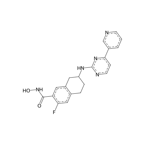 O=C(NO)c1cc2c(cc1F)CCC(Nc1nccc(-c3cccnc3)n1)C2